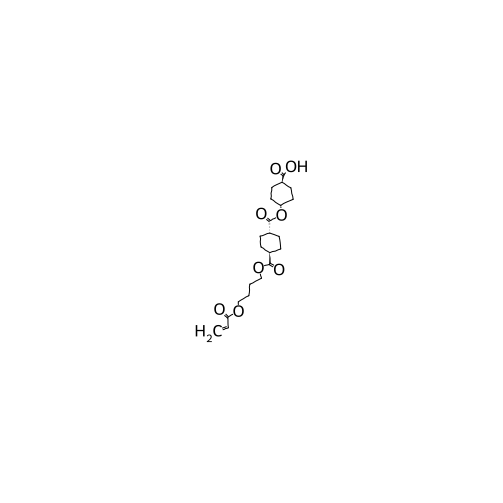 C=CC(=O)OCCCCOC(=O)[C@H]1CC[C@H](C(=O)O[C@H]2CC[C@H](C(=O)O)CC2)CC1